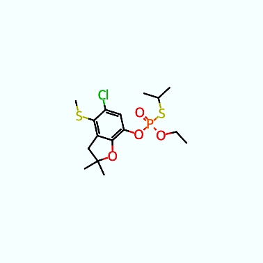 CCOP(=O)(Oc1cc(Cl)c(SC)c2c1OC(C)(C)C2)SC(C)C